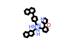 c1ccc2cc(C3NC(c4cccc5oc6ccncc6c45)=NC(c4ccc(-c5cccc6ccccc56)cc4)N3)ccc2c1